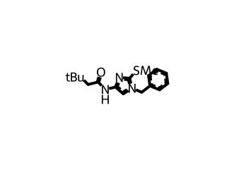 CSc1nc(NC(=O)CC(C)(C)C)cn1Cc1ccccc1